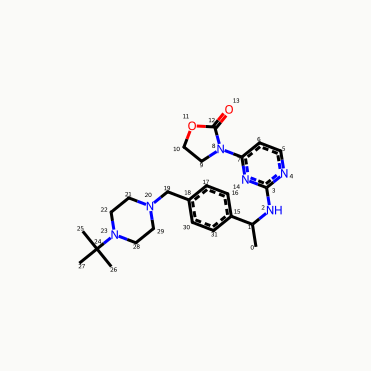 CC(Nc1nccc(N2CCOC2=O)n1)c1ccc(CN2CCN(C(C)(C)C)CC2)cc1